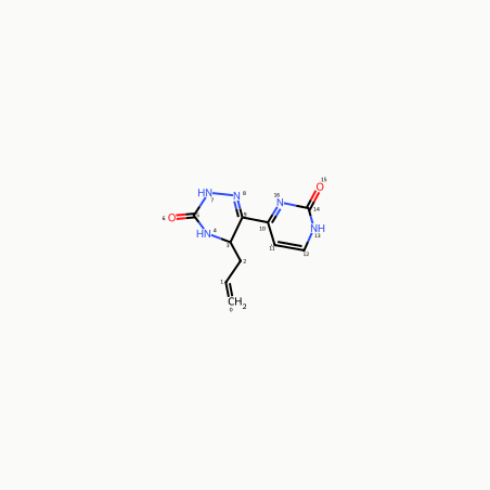 C=CCC1NC(=O)NN=C1c1[c]c[nH]c(=O)n1